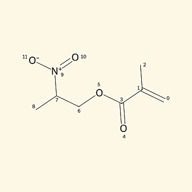 C=C(C)C(=O)OCC(C)[N+](=O)[O-]